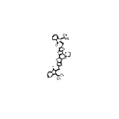 N#CC(C#N)=C1/C(=C/c2cc3sc4c(c3s2)OC2(CCCCC2)c2c-4sc3cc(/C=C4\C(=O)c5ccccc5C4=C(C#N)C#N)sc23)C(=O)c2ccccc21